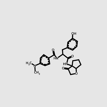 CN(C)c1ccc(C(=O)NC(Cc2cccc(O)c2)C(=O)NC23CCCC2OCC3=O)cc1